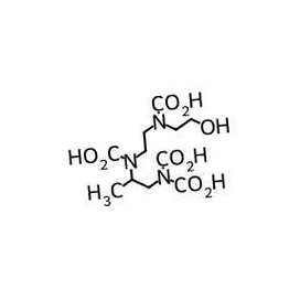 CC(CN(C(=O)O)C(=O)O)N(CCN(CCO)C(=O)O)C(=O)O